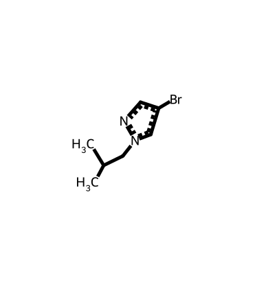 CC(C)Cn1cc(Br)cn1